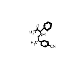 C[C@H](CNC(C(N)=O)c1ccccc1)c1ccc(C#N)cc1